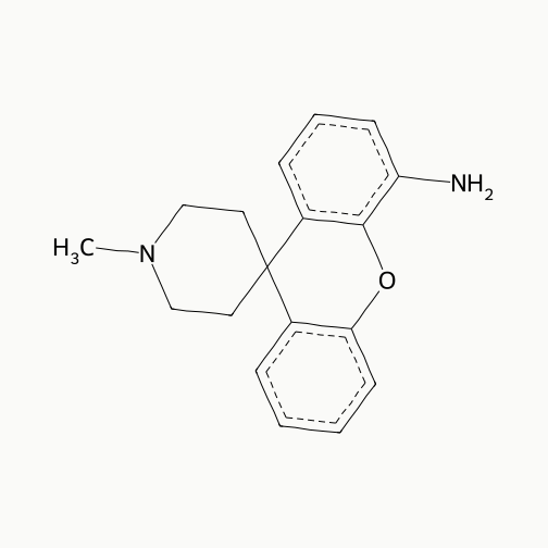 CN1CCC2(CC1)c1ccccc1Oc1c(N)cccc12